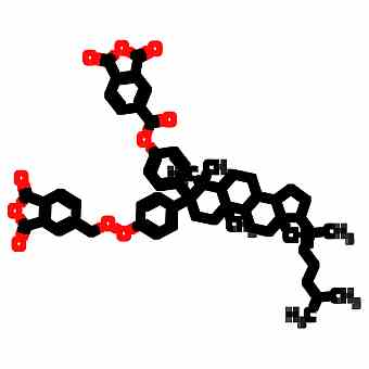 CC(C)CCCC(C)C1CCC2C3CCC4C(C)(CCC(c5ccc(OOCc6ccc7c(c6)C(=O)OC7=O)cc5)(c5ccc(OC(=O)c6ccc7c(c6)C(=O)OC7=O)cc5)C4(C)C)C3CCC12C